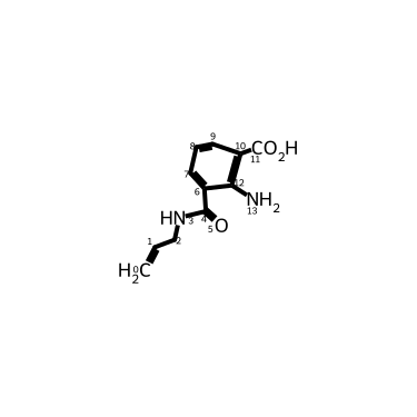 C=CCNC(=O)c1cccc(C(=O)O)c1N